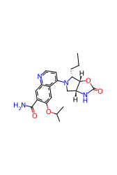 CCC[C@@H]1[C@@H]2OC(=O)N[C@@H]2CN1c1ccnc2cc(C(N)=O)c(OC(C)C)cc12